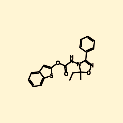 CCC1(C)ON=C(c2ccccc2)N1NC(=O)Oc1cc2ccccc2s1